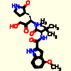 COc1cccc2[nH]c(C(=O)N[C@H](C(=O)N[C@@H](C[C@@H]3CCNC3=O)C(=O)CO)C(C)(C)C)cc12